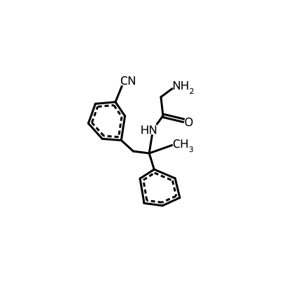 CC(Cc1cccc(C#N)c1)(NC(=O)CN)c1ccccc1